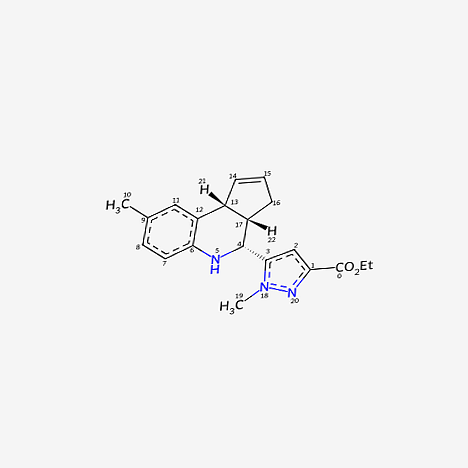 CCOC(=O)c1cc([C@@H]2Nc3ccc(C)cc3[C@@H]3C=CC[C@@H]32)n(C)n1